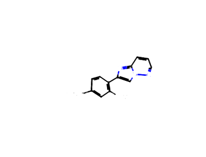 Br.COc1cc(NC(C)=O)ccc1-c1cn2ncccc2n1